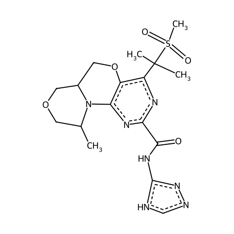 CC1COCC2COc3c(nc(C(=O)Nc4nnc[nH]4)nc3C(C)(C)S(C)(=O)=O)N12